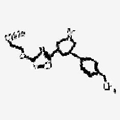 COCCOc1noc(C2CC(c3ccc(CC(F)(F)F)cc3)CN(C(C)=O)C2)n1